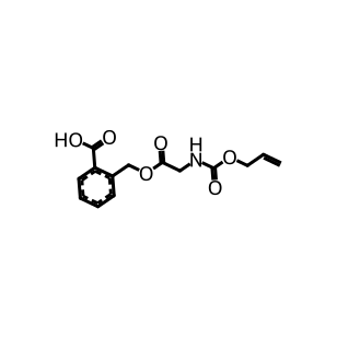 C=CCOC(=O)NCC(=O)OCc1ccccc1C(=O)O